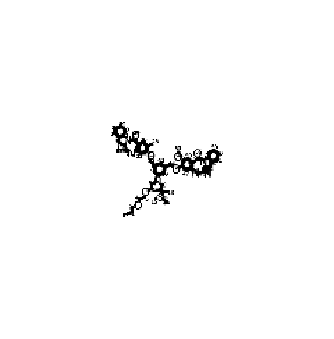 CCCOCCOCCN(CC(C)(C)S(C)=S)c1cc(COc2cc3c(cc2C)C(=O)N2c4ccccc4C[C@@H]2C=N3)cc(COc2cc3c(cc2OC)C(=O)N2c4ccccc4C[C@H]2C=N3)c1